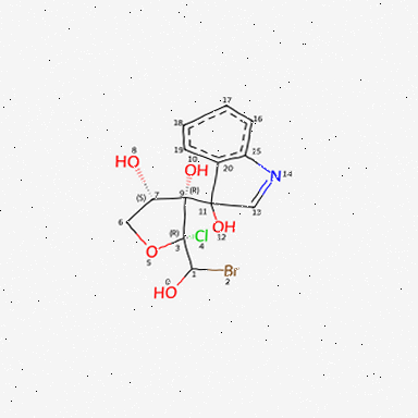 OC(Br)[C@@]1(Cl)OC[C@H](O)[C@@]1(O)C1(O)C=Nc2ccccc21